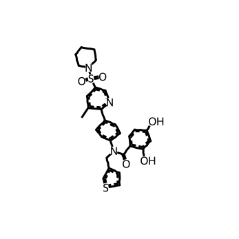 Cc1cc(S(=O)(=O)N2CCCCC2)cnc1-c1ccc(N(Cc2ccsc2)C(=O)c2ccc(O)cc2O)cc1